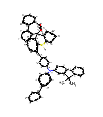 CC1(C)c2ccccc2-c2ccc(N(c3ccc(-c4ccccc4)cc3)c3ccc(-c4cccc5c4Sc4ccccc4C54c5ccccc5-c5ccccc5-c5ccccc54)cc3)cc21